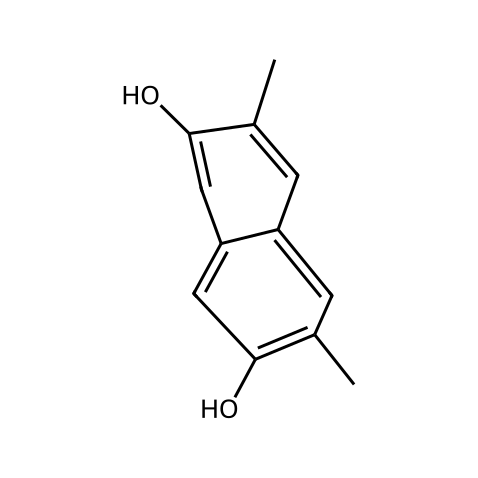 Cc1cc2cc(C)c(O)cc2cc1O